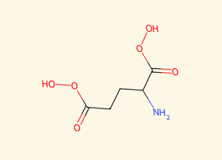 NC(CCC(=O)OO)C(=O)OO